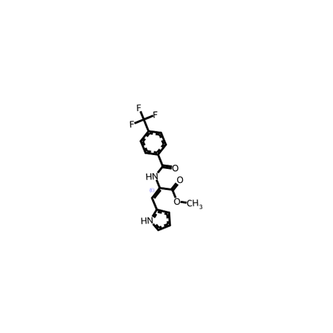 COC(=O)/C(=C\c1ccc[nH]1)NC(=O)c1ccc(C(F)(F)F)cc1